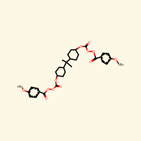 CCCCOc1ccc(C(=O)OOC(=O)OC2CCC(C(C)(C)C3CCC(OC(=O)OOC(=O)c4ccc(OCCCC)cc4)CC3)CC2)cc1